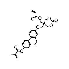 C=CC(=O)OCC1(COc2ccc(-c3ccc(OC(=O)C(=C)C)cc3)c(CC)c2)COC(=O)OC1